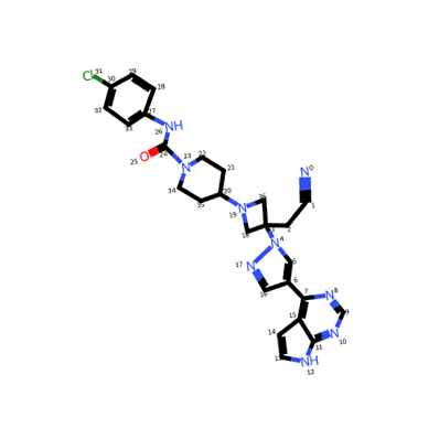 N#CCC1(n2cc(-c3ncnc4[nH]ccc34)cn2)CN(C2CCN(C(=O)Nc3ccc(Cl)cc3)CC2)C1